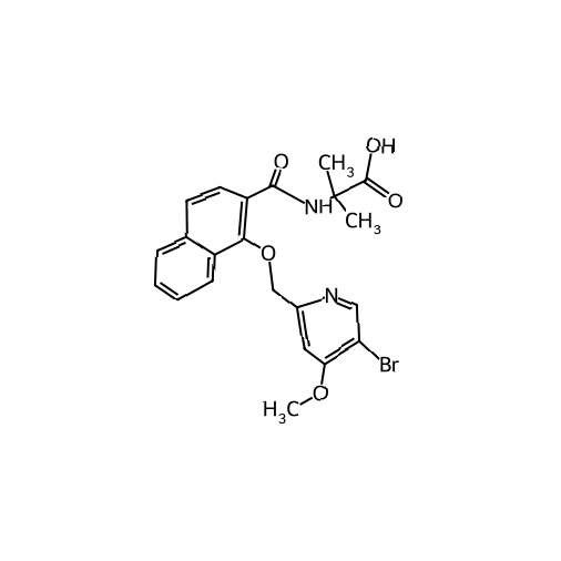 COc1cc(COc2c(C(=O)NC(C)(C)C(=O)O)ccc3ccccc23)ncc1Br